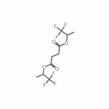 CC(OC(=O)CCC(=O)OC(C)C(F)(F)F)C(F)(F)F